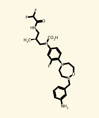 C[C@@H](CNC(=O)C(F)F)CN(C(=O)O)c1ccc(N2CCON(Cc3cccc(N)c3)CC2)c(F)c1